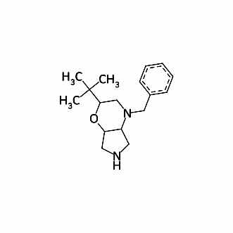 CC(C)(C)C1CN(Cc2ccccc2)C2CNCC2O1